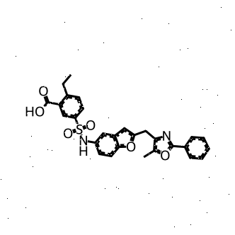 CCc1ccc(S(=O)(=O)Nc2ccc3oc(Cc4nc(-c5ccccc5)oc4C)cc3c2)cc1C(=O)O